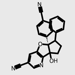 N#Cc1ccc([C@@]23Oc4cc(C#N)cnc4C2(O)CCC3c2ccccc2)cc1